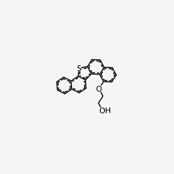 OCCOc1cccc2ccc3sc4c5ccccc5ccc4c3c12